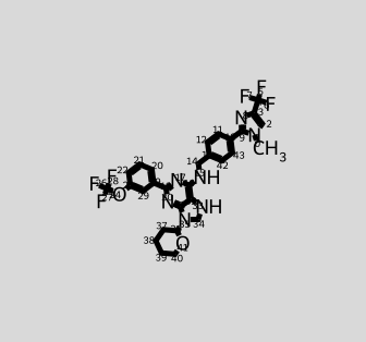 Cn1cc(C(F)(F)F)nc1-c1ccc(CNc2nc(-c3cccc(OC(F)(F)F)c3)nc3c2NCN3C2CCCCO2)cc1